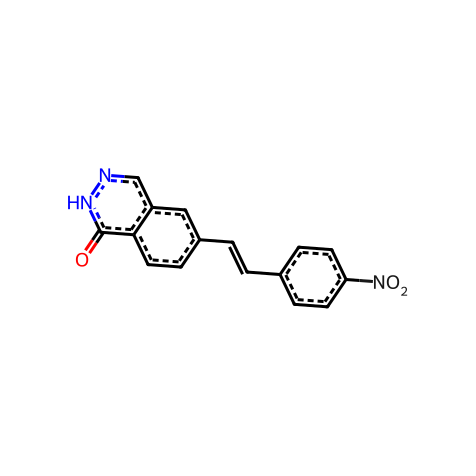 O=c1[nH]ncc2cc(C=Cc3ccc([N+](=O)[O-])cc3)ccc12